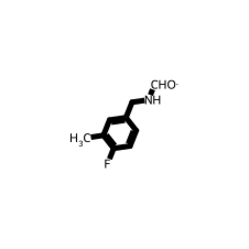 Cc1cc(CN[C]=O)ccc1F